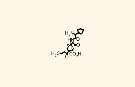 C=CCC(=O)C1(C(=O)O)CS[C@@H]2C(NC(=O)C(N)C3=CCC=CC3)C(=O)N2C1